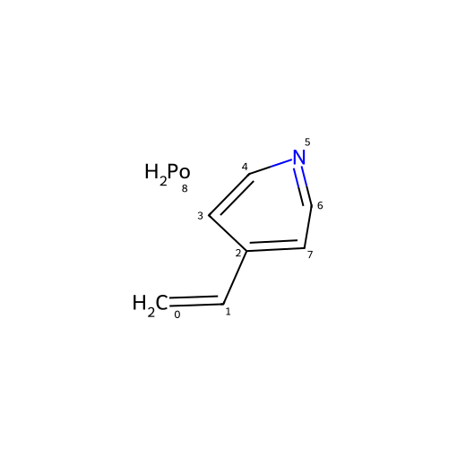 C=Cc1ccncc1.[PoH2]